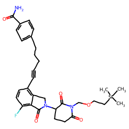 C[Si](C)(C)CCOCN1C(=O)CCC(N2Cc3c(C#CCCCc4ccc(C(N)=O)cc4)ccc(F)c3C2=O)C1=O